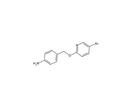 CC(=O)c1ccc(OCc2ccc(N)cc2)nc1